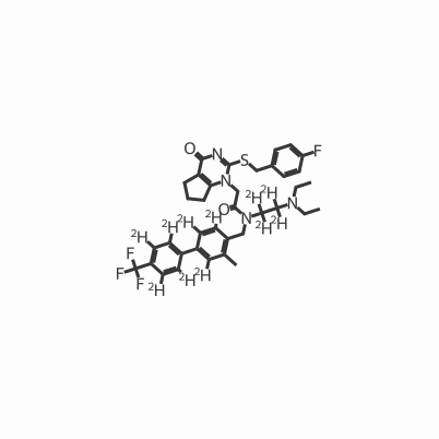 [2H]c1c([2H])c(-c2c([2H])c([2H])c(C(F)(F)F)c([2H])c2[2H])c([2H])c(C)c1CN(C(=O)Cn1c(SCc2ccc(F)cc2)nc(=O)c2c1CCC2)C([2H])([2H])C([2H])([2H])N(CC)CC